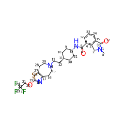 CN1Cc2c(C(=O)N[C@H]3CC[C@H](CCN4CCc5nc(OCC(F)(F)F)sc5CC4)CC3)cccc2C1=O